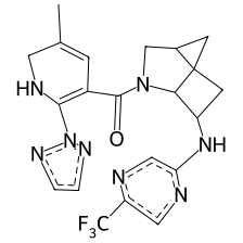 CC1=CC(C(=O)N2CC3CC34CC(Nc3cnc(C(F)(F)F)cn3)C24)=C(n2nccn2)NC1